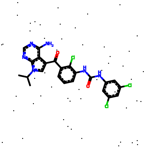 CC(C)n1cc(C(=O)c2cccc(NC(=O)Nc3cc(Cl)cc(Cl)c3)c2Cl)c2c(N)ncnc21